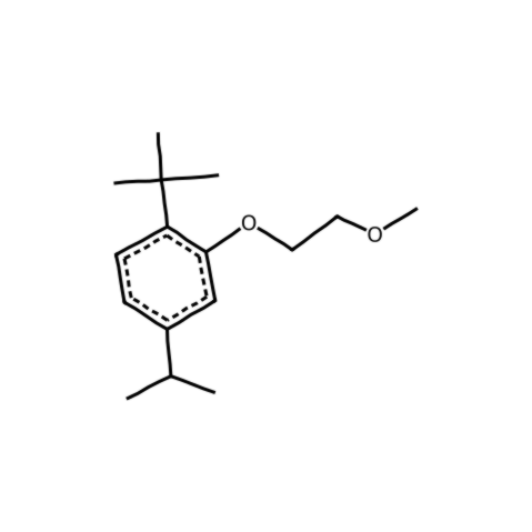 COCCOc1cc(C(C)C)ccc1C(C)(C)C